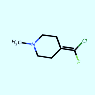 CN1CCC(=C(F)Cl)CC1